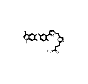 Cc1c[nH]c2cc(F)c(Oc3ccc(F)c(-c4ccn(Cc5cnc(CCC(N)=O)s5)n4)c3)cc12